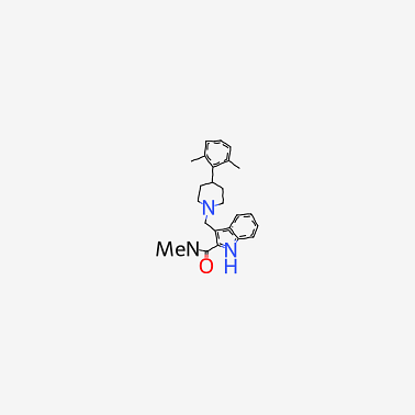 CNC(=O)c1[nH]c2ccccc2c1CN1CCC(c2c(C)cccc2C)CC1